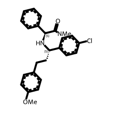 CNC(=O)[C@@H](N[C@@H](CCc1ccc(OC)cc1)c1ccc(Cl)cc1)c1ccccc1